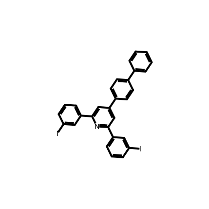 Ic1cccc(-c2cc(-c3ccc(-c4ccccc4)cc3)cc(-c3cccc(I)c3)n2)c1